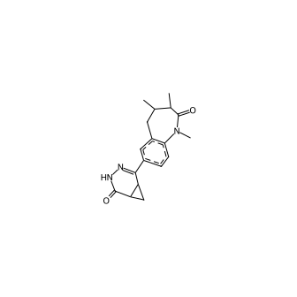 CC1Cc2cc(C3=NNC(=O)C4CC34)ccc2N(C)C(=O)C1C